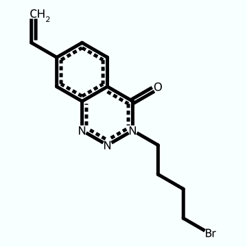 C=Cc1ccc2c(=O)n(CCCCBr)nnc2c1